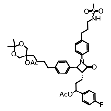 CC(=O)OC(CC[C@H]1C(=O)N(c2ccc(CCCNS(C)(=O)=O)cc2)[C@@H]1c1ccc(CCCCC2(OC(C)=O)COC(C)(C)OC2)cc1)c1ccc(F)cc1